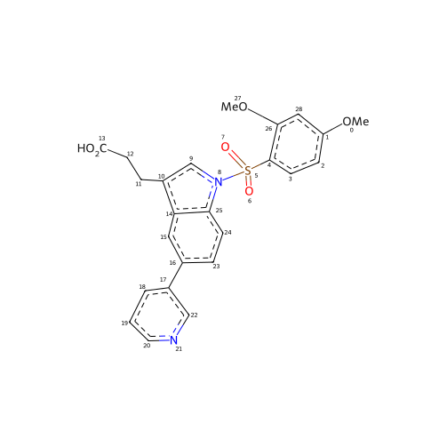 COc1ccc(S(=O)(=O)n2cc(CCC(=O)O)c3cc(-c4cccnc4)ccc32)c(OC)c1